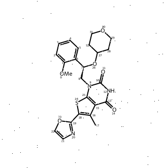 COc1ccccc1[C@H](Cn1c(=O)[nH]c(=O)c2c(C)c(-c3ncco3)sc21)OC1CCOCC1